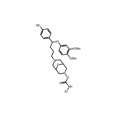 CCNC(=O)ON1CC2CN(CCCC(Oc3ccc(OC)c(OC)c3)c3ccc(C#N)cc3)CC(C1)O2